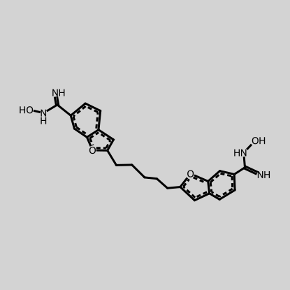 N=C(NO)c1ccc2cc(CCCCCc3cc4ccc(C(=N)NO)cc4o3)oc2c1